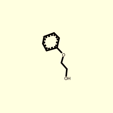 OCCOc1[c]c[c]cc1